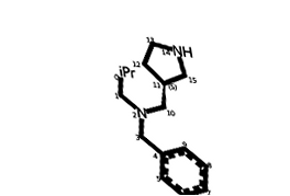 CC(C)CN(Cc1ccccc1)C[C@H]1CCNC1